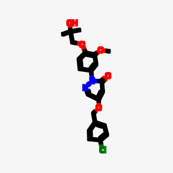 COc1cc(-n2ncc(OCc3ccc(Cl)cc3)cc2=O)ccc1OCC(C)(C)O